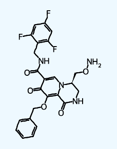 NOC[C@H]1CNC(=O)c2c(OCc3ccccc3)c(=O)c(C(=O)NCc3c(F)cc(F)cc3F)cn21